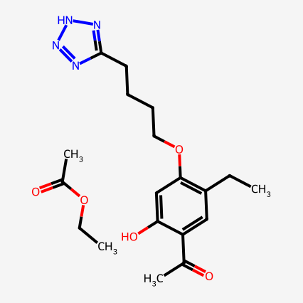 CCOC(C)=O.CCc1cc(C(C)=O)c(O)cc1OCCCCc1nn[nH]n1